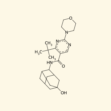 CC(C)(C)c1nc(N2CCOCC2)ncc1C(=O)NC1C2CC3CC1CC(O)(C3)C2